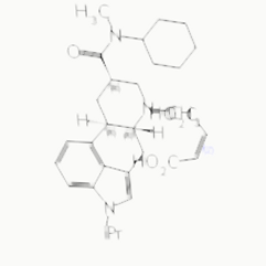 CC(C)n1cc2c3c(cccc31)[C@H]1C[C@@H](C(=O)N(C)C3CCCCC3)CN(C)[C@@H]1C2.O=C(O)/C=C\C(=O)O